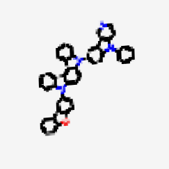 c1ccc(-n2c3ccncc3c3cc(-n4c5ccccc5c5c6c7ccccc7n(-c7ccc8oc9ccccc9c8c7)c6ccc54)ccc32)cc1